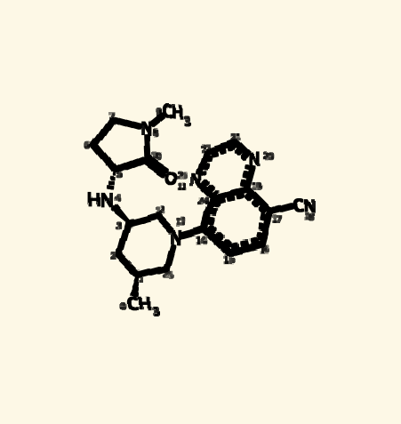 C[C@H]1C[C@@H](N[C@@H]2CCN(C)C2=O)CN(c2ccc(C#N)c3nccnc23)C1